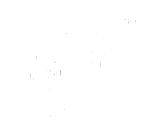 C=C(c1ccc([N+](=O)[O-])cc1)c1cccc(C(=O)Nc2nccc3ccccc23)c1